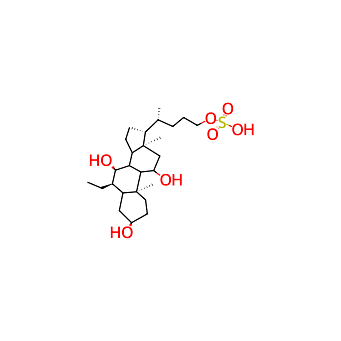 CC[C@@H]1C2C[C@H](O)CC[C@]2(C)C2C(O)C[C@@]3(C)C(CC[C@@H]3[C@H](C)CCCOS(=O)(=O)O)C2[C@@H]1O